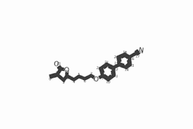 C=C1CC(CCCCOc2ccc(-c3ccc(C#N)cc3)cc2)OC1=O